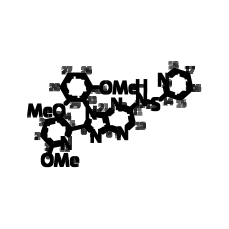 COc1cccc(-c2nc3ncc(NSc4ccccn4)nc3n2-c2c(OC)cccc2OC)n1